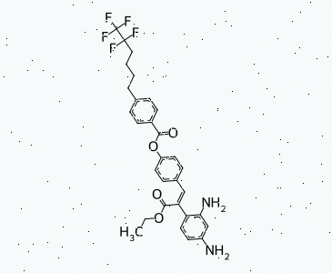 CCOC(=O)C(=Cc1ccc(OC(=O)c2ccc(CCCCC(F)(F)C(F)(F)F)cc2)cc1)c1ccc(N)cc1N